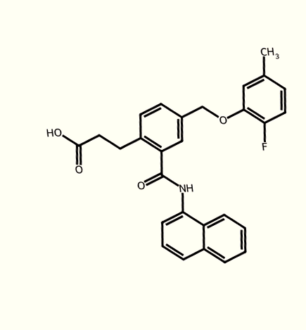 Cc1ccc(F)c(OCc2ccc(CCC(=O)O)c(C(=O)Nc3cccc4ccccc34)c2)c1